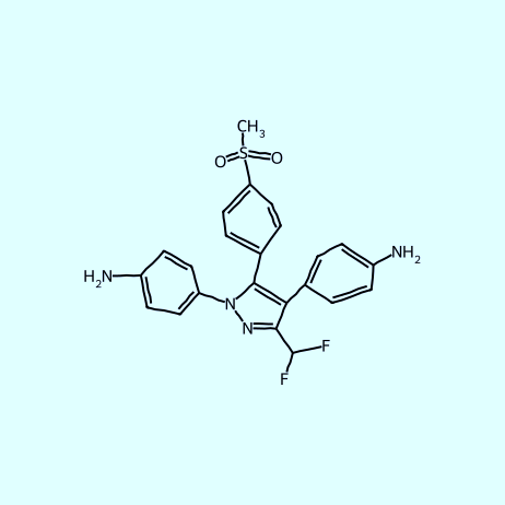 CS(=O)(=O)c1ccc(-c2c(-c3ccc(N)cc3)c(C(F)F)nn2-c2ccc(N)cc2)cc1